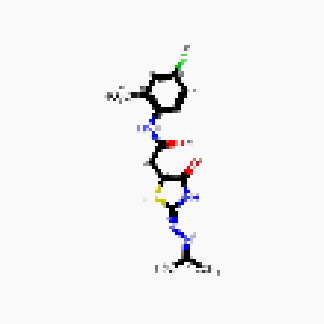 CC(C)=N/N=C1\NC(=O)C(CC(=O)Nc2ccc(Cl)cc2C(=O)O)S1